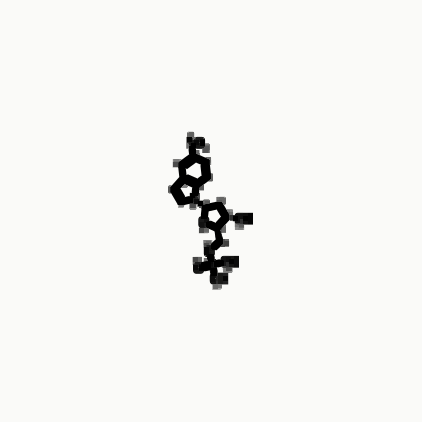 O=[N+]([O-])c1ccc2c(ccn2[C@@H]2C[C@H](O)[C@@H](COP(=O)(O)O)O2)c1